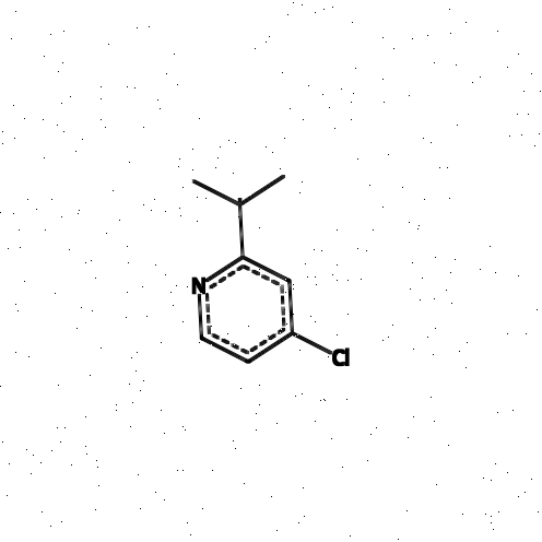 C[C](C)c1cc(Cl)ccn1